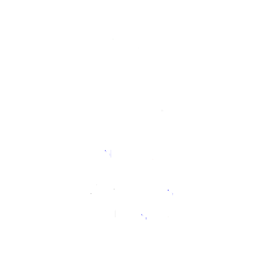 Brc1cccc(C#CCOc2nsnc2[C@@H]2CN3CCC2CC3)c1